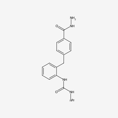 CCCNC(=O)Nc1ccccc1Cc1ccc(C(=O)NN)cc1